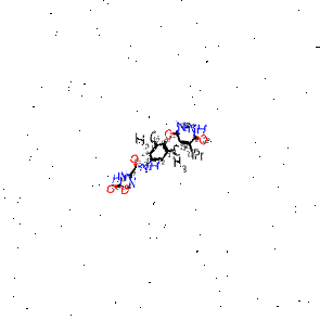 Cc1cc(NC(=O)c2noc(=O)[nH]2)cc(C)c1Oc1cc(C(C)C)c(=O)[nH]n1